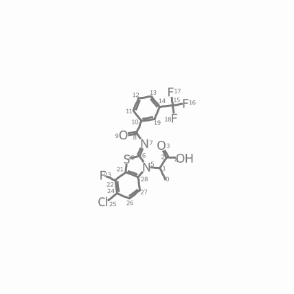 CC(C(=O)O)n1c(=NC(=O)c2cccc(C(F)(F)F)c2)sc2c(F)c(Cl)ccc21